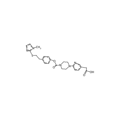 Cn1ccnc1SCCc1ccc(OC(=O)N2CCN(c3ccc(CC(=O)O)cn3)CC2)cc1